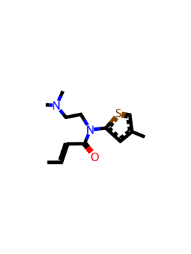 C/C=C/C(=O)N(CCN(C)C)c1cc(C)cs1